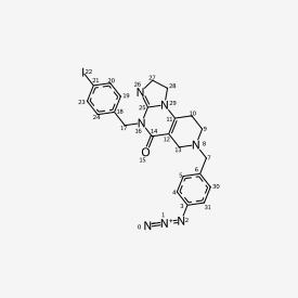 [N-]=[N+]=Nc1ccc(CN2CCC3=C(C2)C(=O)N(Cc2ccc(I)cc2)C2=NCCN23)cc1